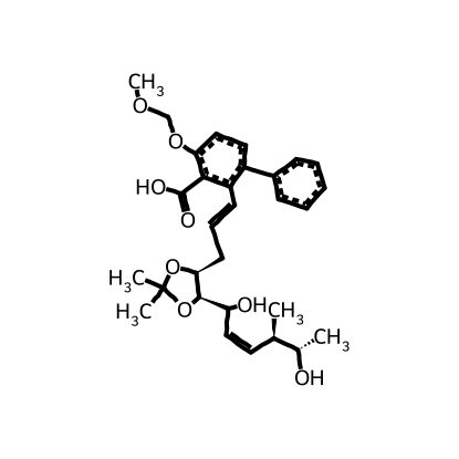 COCOc1ccc(-c2ccccc2)c(/C=C/C[C@@H]2OC(C)(C)O[C@@H]2C(O)/C=C\[C@@H](C)[C@H](C)O)c1C(=O)O